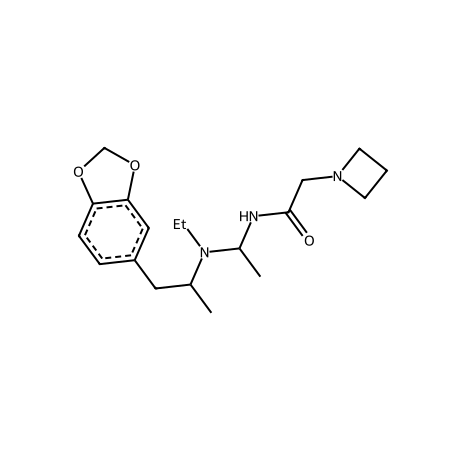 CCN(C(C)Cc1ccc2c(c1)OCO2)C(C)NC(=O)CN1CCC1